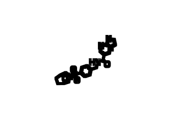 O=C(NCc1ccc(S(=O)(=O)N2CC3CCC(C2)O3)cc1)c1cnc2nccn2c1